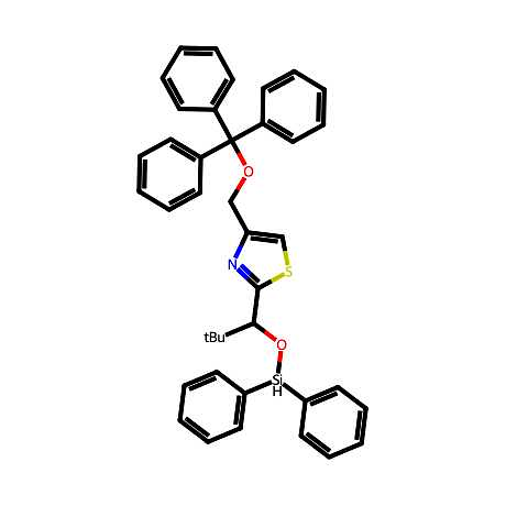 CC(C)(C)C(O[SiH](c1ccccc1)c1ccccc1)c1nc(COC(c2ccccc2)(c2ccccc2)c2ccccc2)cs1